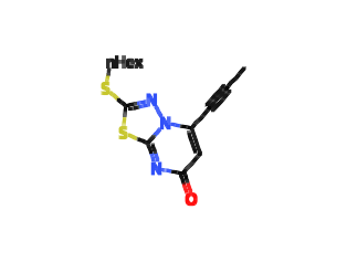 CC#Cc1cc(=O)nc2sc(SCCCCCC)nn12